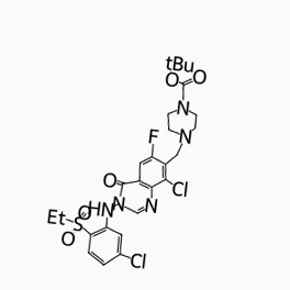 CCS(=O)(=O)c1ccc(Cl)cc1Nn1cnc2c(Cl)c(CN3CCN(C(=O)OC(C)(C)C)CC3)c(F)cc2c1=O